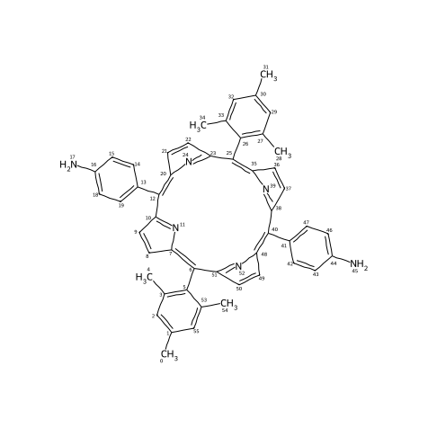 Cc1cc(C)c(C2=C3C=CC(=N3)C(c3ccc(N)cc3)=C3C=CC(=N3)C(c3c(C)cc(C)cc3C)=C3C=CC(=N3)C(c3ccc(N)cc3)=C3C=CC2=N3)c(C)c1